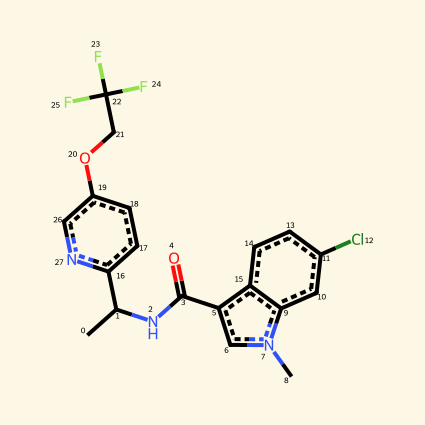 CC(NC(=O)c1cn(C)c2cc(Cl)ccc12)c1ccc(OCC(F)(F)F)cn1